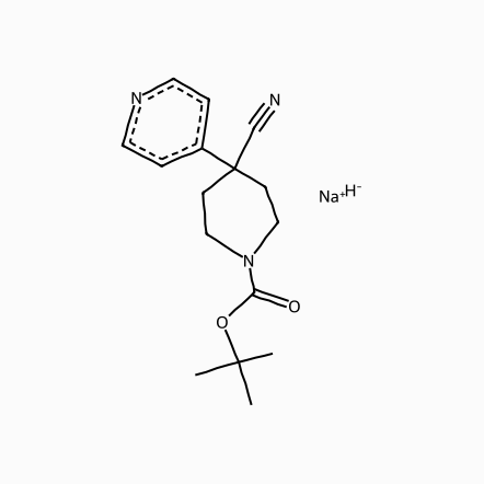 CC(C)(C)OC(=O)N1CCC(C#N)(c2ccncc2)CC1.[H-].[Na+]